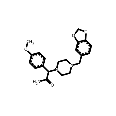 COc1ccc(C(C(N)=O)N2CCN(Cc3ccc4c(c3)OCO4)CC2)cc1